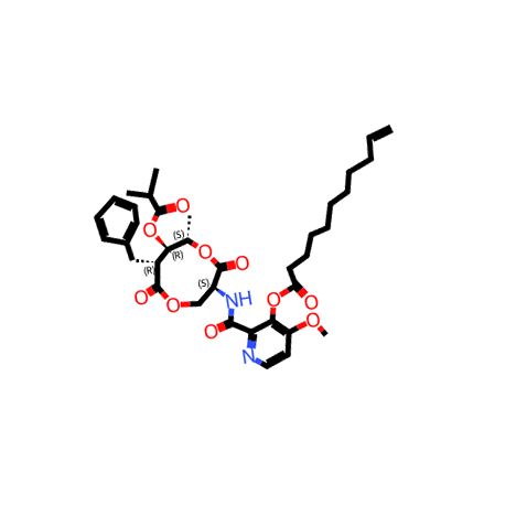 C=CCCCCCCCCC(=O)Oc1c(OC)ccnc1C(=O)N[C@H]1COC(=O)[C@H](Cc2ccccc2)[C@@H](OC(=O)C(C)C)[C@H](C)OC1=O